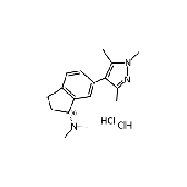 Cc1nn(C)c(C)c1-c1ccc2c(c1)[C@H](N(C)C)CC2.Cl.Cl